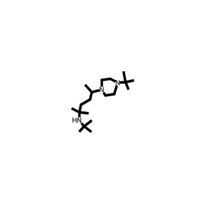 CC(CCC(C)(C)NC(C)(C)C)N1CCN(C(C)(C)C)CC1